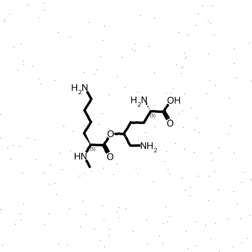 CN[C@@H](CCCCN)C(=O)OC(CN)CC[C@H](N)C(=O)O